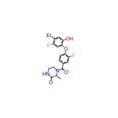 CCc1cc(O)c(Oc2ccc(C(=O)N3CCNC(=O)C3C)cc2F)cc1F